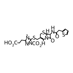 Cn1c(CCC(=O)O)nnc1SCC1=C(C(=O)O)N2C(=O)C(NC(=O)Cc3cccs3)[C@@H]2SC1